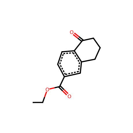 CCOC(=O)c1ccc2c(c1)CCCC2=O